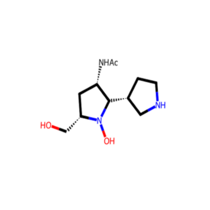 CC(=O)N[C@H]1C[C@@H](CO)N(O)C1[C@@H]1CCNC1